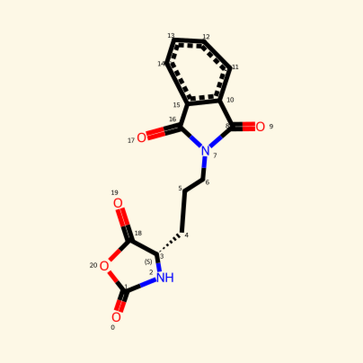 O=C1N[C@@H](CCCN2C(=O)c3ccccc3C2=O)C(=O)O1